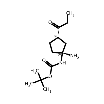 CCC(=O)[C@H]1CC[C@@](N)(NC(=O)OC(C)(C)C)C1